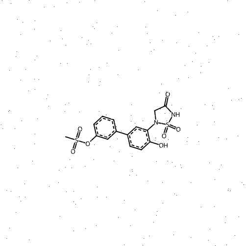 CS(=O)(=O)Oc1cccc(-c2ccc(O)c(N3CC(=O)NS3(=O)=O)c2)c1